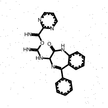 N=C(NC1N=C(c2ccccc2)c2ccccc2NC1=O)OC(=N)c1ncccn1